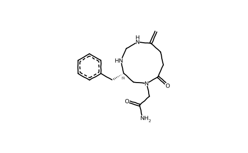 C=C1CCC(=O)N(CC(N)=O)C[C@H](Cc2ccccc2)NCN1